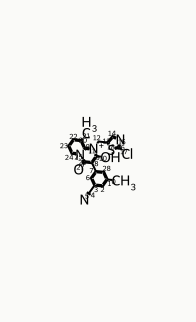 Cc1cc(C#N)cc(-c2c(O)[n+](Cc3cnc(Cl)s3)c3c(C)cccn3c2=O)c1